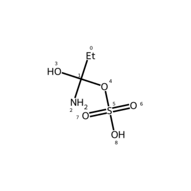 CCC(N)(O)OS(=O)(=O)O